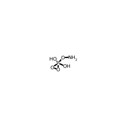 NOP1(O)(O)OO1